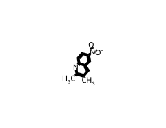 Cc1cc2cc([N+](=O)[O-])ccc2nc1C